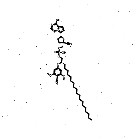 CCCCCCCCCCCCCCCCCCC[C@H](COP(=O)(O)OC[C@]1(C#N)CC[C@H](c2ccc3c(N)ncnn23)O1)Oc1cc(OC)c(C#N)c(OC)c1